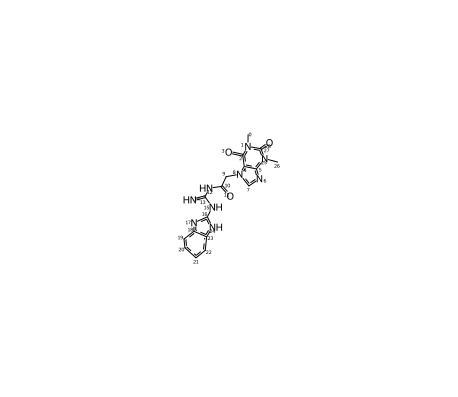 Cn1c(=O)c2c(ncn2CC(=O)NC(=N)Nc2nc3ccccc3[nH]2)n(C)c1=O